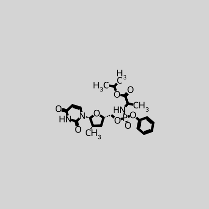 CC(C)OC(=O)C(C)NP(=O)(OC[C@@H]1C[C@H](C)[C@H](n2ccc(=O)[nH]c2=O)O1)Oc1ccccc1